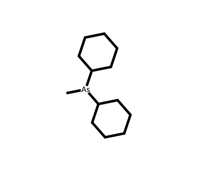 C[As](C1CCCCC1)C1CCCCC1